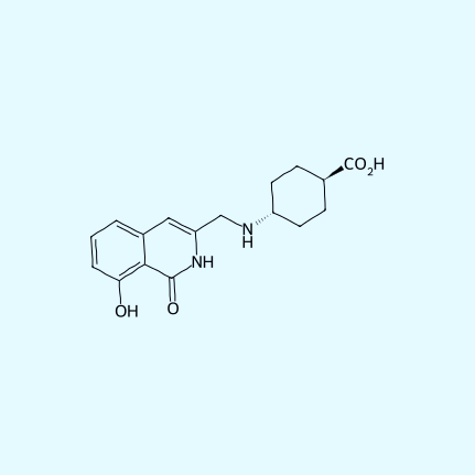 O=c1[nH]c(CN[C@H]2CC[C@H](C(=O)O)CC2)cc2cccc(O)c12